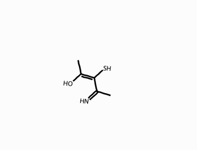 CC(=N)/C(S)=C(/C)O